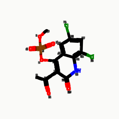 COS(=O)(=O)Oc1c(C(C)=O)c(=O)[nH]c2c(Cl)cc(Cl)cc12